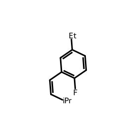 CCc1ccc(F)c(/C=C\C(C)C)c1